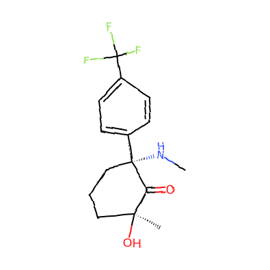 CN[C@@]1(c2ccc(C(F)(F)F)cc2)CCC[C@](C)(O)C1=O